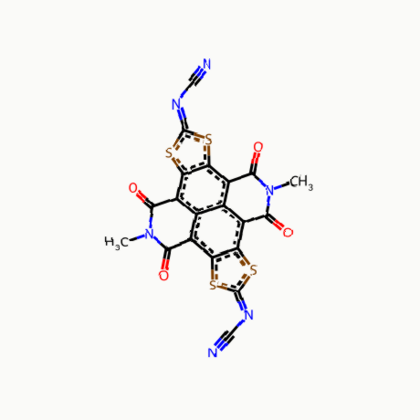 CN1C(=O)c2c3sc(=NC#N)sc3c3c4c(c5sc(=NC#N)sc5c(c24)C1=O)C(=O)N(C)C3=O